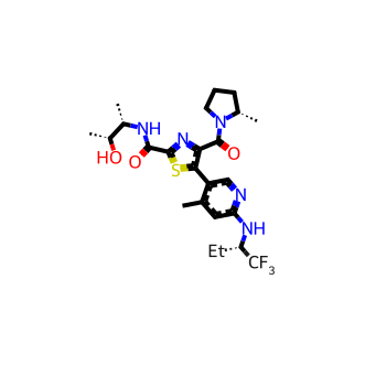 CC[C@H](Nc1cc(C)c(-c2sc(C(=O)N[C@@H](C)[C@@H](C)O)nc2C(=O)N2CCC[C@@H]2C)cn1)C(F)(F)F